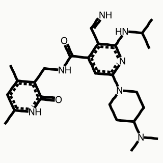 Cc1cc(C)c(CNC(=O)c2cc(N3CCC(N(C)C)CC3)nc(NC(C)C)c2C=N)c(=O)[nH]1